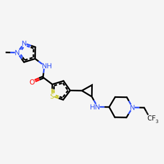 Cn1cc(NC(=O)c2cc(C3CC3NC3CCN(CC(F)(F)F)CC3)cs2)cn1